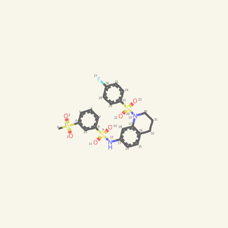 CS(=O)(=O)c1cccc(S(=O)(=O)Nc2ccc3c(c2)N(S(=O)(=O)c2ccc(F)cc2)CCC3)c1